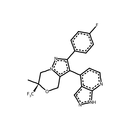 C[C@]1(C(F)(F)F)Cn2nc(-c3ccc(F)cc3)c(-c3ccnc4[nH]ncc34)c2CO1